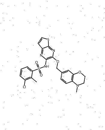 Cc1c(Cl)cccc1S(=O)(=O)Nc1nc2ccsc2nc1OCc1ccc2c(c1)OCCN2C